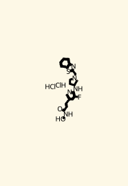 Cl.Cl.O=C(/C=C/c1cnc(N[C@@H]2CCN(Cc3nc4ccccc4s3)C2)c(F)c1)NO